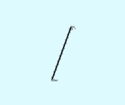 C=CC(=O)OCCOCCOCCOCCOCCOCCOCCOCCOCCOCCOCCOCCOCCOCCOCCOCCOCCOCCOCCCCCCCCCCCC